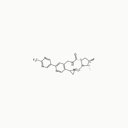 C[C@H]1[C@H](F)C[C@@H](C(=O)NCc2cc(-c3cnc(C(F)(F)F)nc3)ncc2C2CC2)N1C(=O)O